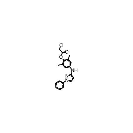 Cc1cc(Nc2ccn(-c3ccccc3)n2)cc(C)c1OC(=O)CCl